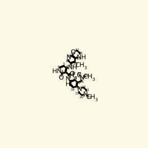 Cc1c(Nc2cc[nH]c(=O)c2C(=O)Nc2ccc(N3CCN(C)CC3)c(CN(C)C)c2)cnc2c1NCCO2